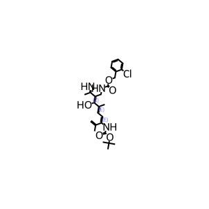 C=C(C)\C(=C/C=C(C)/C(O)=C(\CNC(=O)OCc1ccccc1Cl)C(C)=N)NC(=O)OC(C)(C)C